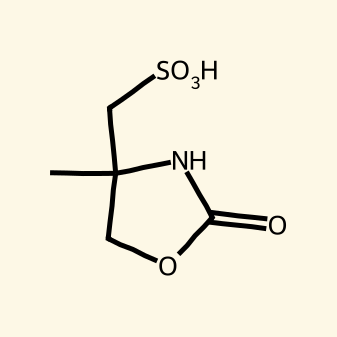 CC1(CS(=O)(=O)O)COC(=O)N1